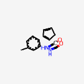 C1=CCC=C1.Cc1ccccc1.N=C=O.N=C=O